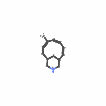 FC(F)(F)C1=CCC2CNCC(C=CC=C1)C2